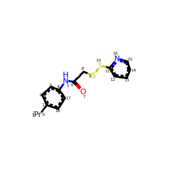 CC(C)c1ccc(NC(=O)CSSc2ccccn2)cc1